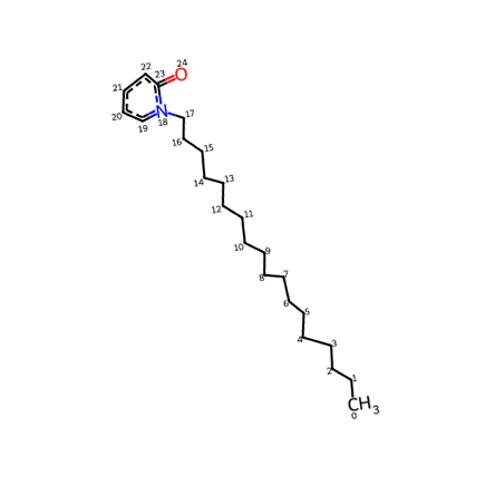 CCCCCCCCCCCCCCCCCCn1ccccc1=O